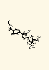 CCNC(=O)c1ccc(-c2ccn(CCC(C)(C(=O)NO)S(C)(=O)=O)c(=O)c2)cc1F